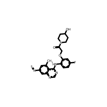 Cc1cc(N=S)cc2ncnc(Nc3ccc(F)cc3OCC(=O)N3CCC(O)CC3)c12